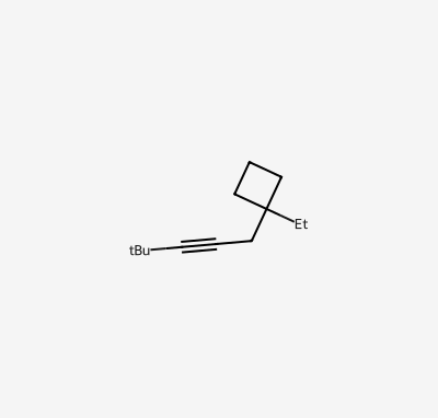 CCC1(CC#CC(C)(C)C)CCC1